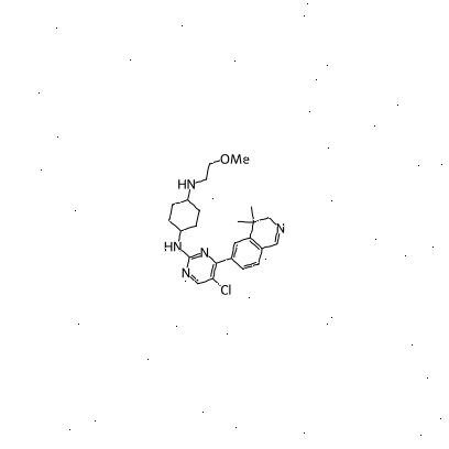 COCCNC1CCC(Nc2ncc(Cl)c(-c3ccc4c(c3)C(C)(C)CN=C4)n2)CC1